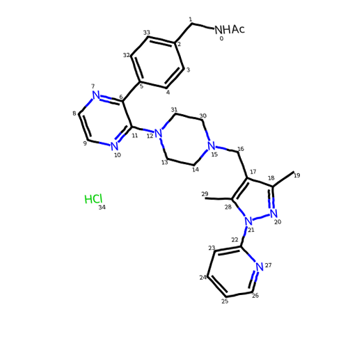 CC(=O)NCc1ccc(-c2nccnc2N2CCN(Cc3c(C)nn(-c4ccccn4)c3C)CC2)cc1.Cl